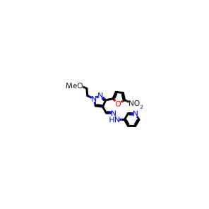 COCCn1cc(C=NNc2cccnc2)c(-c2ccc([N+](=O)[O-])o2)n1